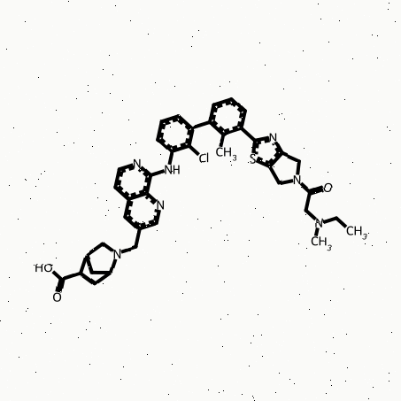 CCN(C)CC(=O)N1Cc2nc(-c3cccc(-c4cccc(Nc5nccc6cc(CN7CC8CC7CC8C(=O)O)cnc56)c4Cl)c3C)sc2C1